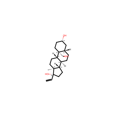 C=C[C@]1(O)CC[C@H]2[C@@H]3CC[C@H]4C[C@@H](O)CC[C@]4(CO)[C@H]3CC[C@@]21C